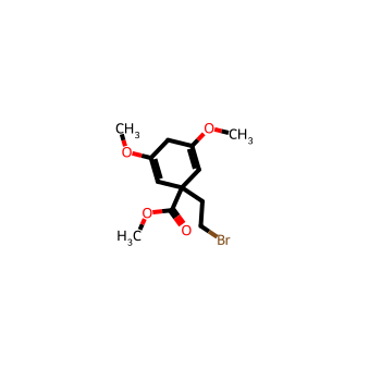 COC(=O)C1(CCBr)C=C(OC)CC(OC)=C1